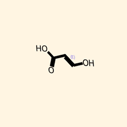 O=C(O)/C=C/O